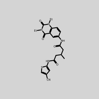 CCn1c(=O)c2cc(NC(=O)CC(C)CC(=O)Nc3cc(C#N)cs3)ccc2n(CC)c1=O